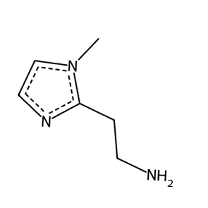 Cn1ccnc1CCN